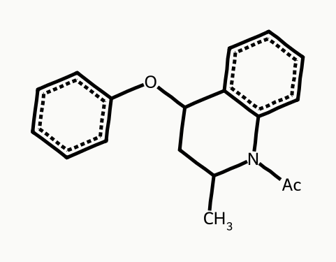 CC(=O)N1c2ccccc2C(Oc2ccccc2)CC1C